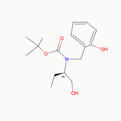 CC[C@H](CO)N(Cc1ccccc1O)C(=O)OC(C)(C)C